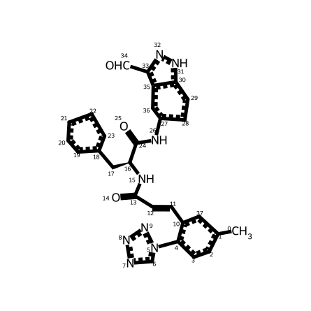 Cc1ccc(-n2cnnn2)c(/C=C/C(=O)N[C@@H](Cc2ccccc2)C(=O)Nc2ccc3[nH]nc(C=O)c3c2)c1